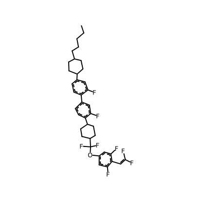 CCCCCC1CCC(c2ccc(-c3ccc(C4CCC(C(F)(F)Oc5cc(F)c(C=C(F)F)c(F)c5)CC4)c(F)c3)c(F)c2)CC1